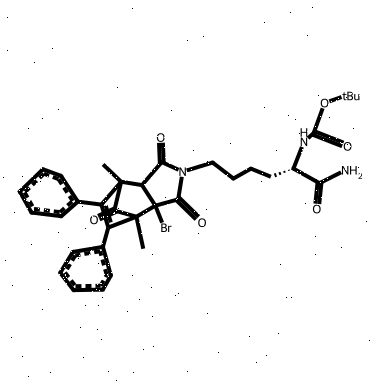 CC(C)(C)OC(=O)N[C@@H](CCCCN1C(=O)C2C3(C)C(=O)C(C)(C(c4ccccc4)=C3c3ccccc3)C2(Br)C1=O)C(N)=O